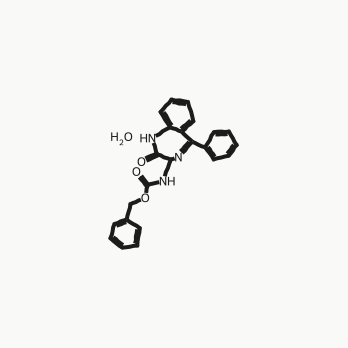 O.O=C(NC1N=C(c2ccccc2)c2ccccc2NC1=O)OCc1ccccc1